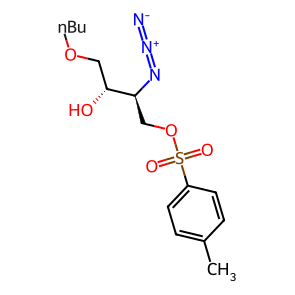 CCCCOC[C@@H](O)[C@H](COS(=O)(=O)c1ccc(C)cc1)N=[N+]=[N-]